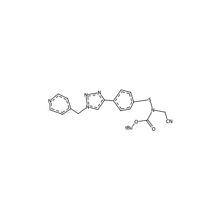 CC(C)(C)OC(=O)N(CC#N)Sc1ccc(-c2cn(Cc3ccncc3)nn2)cc1